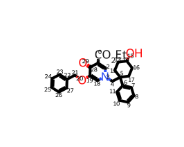 CCOC(=O)c1cn(CC2(c3ccccc3)CCC(O)CC2)cc(OCc2ccccc2)c1=O